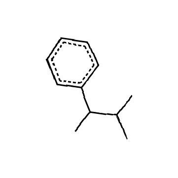 CC(C)C(C)c1ccccc1